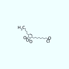 CCCCCC1C=CC(CCCCCCCCC(=O)Cl)C2C(=O)OC(=O)C12